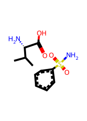 CC(C)[C@H](N)C(=O)O.NS(=O)(=O)c1ccccc1